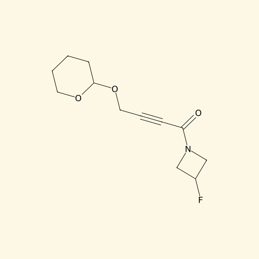 O=C(C#CCOC1CCCCO1)N1CC(F)C1